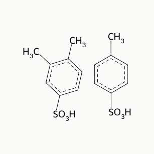 Cc1ccc(S(=O)(=O)O)cc1.Cc1ccc(S(=O)(=O)O)cc1C